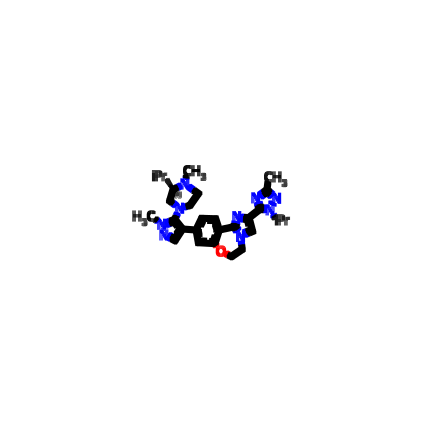 Cc1nc(-c2cn3c(n2)-c2ccc(-c4cnn(C)c4N4CCN(C)[C@H](C(C)C)C4)cc2OCC3)n(C(C)C)n1